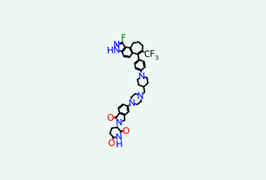 O=C1CC[C@H](N2Cc3cc(N4CCN(CC5CCN(c6ccc(C7=C(C(F)(F)F)CCCc8c7ccc7[nH]nc(F)c87)cc6)CC5)CC4)ccc3C2=O)C(=O)N1